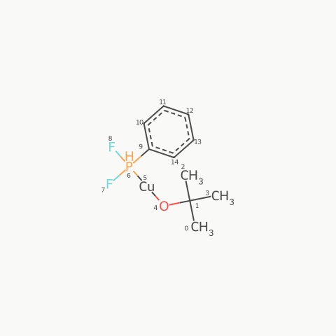 CC(C)(C)[O][Cu][PH](F)(F)c1ccccc1